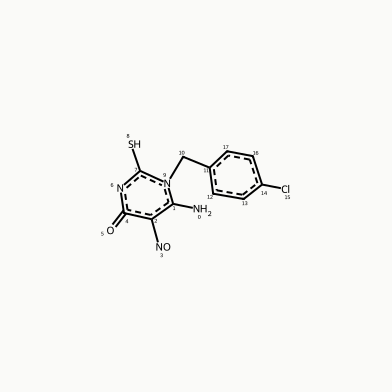 Nc1c(N=O)c(=O)nc(S)n1Cc1ccc(Cl)cc1